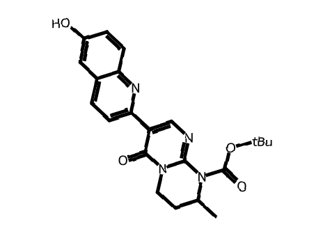 CC1CCn2c(ncc(-c3ccc4cc(O)ccc4n3)c2=O)N1C(=O)OC(C)(C)C